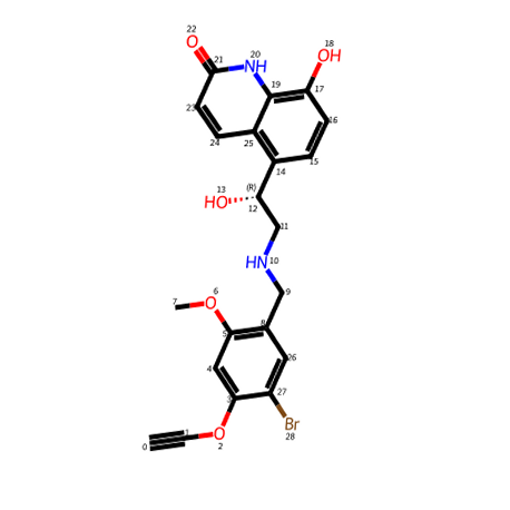 C#COc1cc(OC)c(CNC[C@H](O)c2ccc(O)c3[nH]c(=O)ccc23)cc1Br